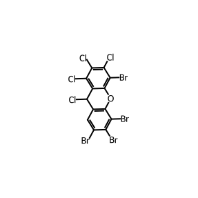 Clc1c(Cl)c(Br)c2c(c1Cl)C(Cl)c1cc(Br)c(Br)c(Br)c1O2